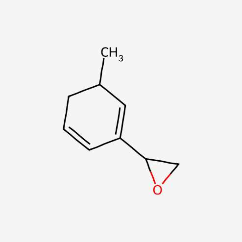 CC1C=C(C2CO2)C=CC1